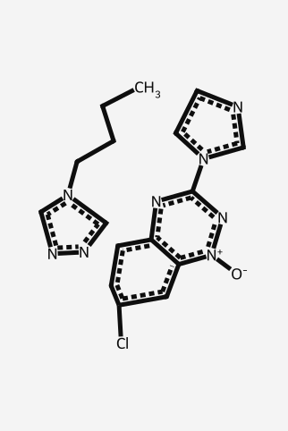 CCCCn1cnnc1.[O-][n+]1nc(-n2ccnc2)nc2ccc(Cl)cc21